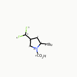 CC(C)(C)C1CC(C(F)F)CN1C(=O)O